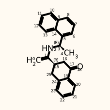 C=C(N[C@H](C)c1cccc2ccccc12)[C@H]1CC(=O)c2ccccc2C1